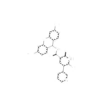 Cc1ccc2c(c1)Oc1cc(C)ccc1C2NC(=O)c1cc(-c2cccnc2)c(C(F)(F)F)[nH]c1=O